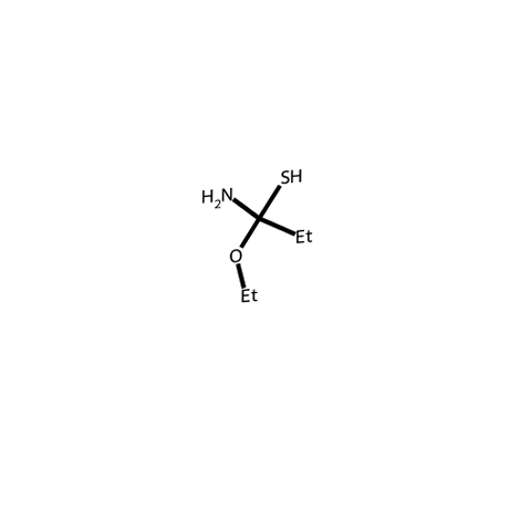 CCOC(N)(S)CC